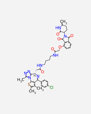 C=C1CCC(N2C(=O)c3cccc(OCC(=O)NCCCCNC(=O)C[C@@H]4N=C(c5ccc(Cl)cc5)c5c(sc(C)c5C)-n5c(C)nnc54)c3C2=O)C(=O)N1